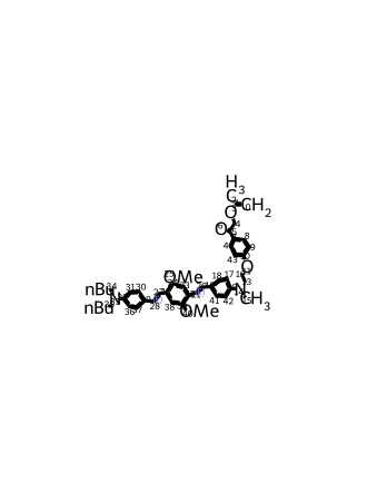 C=C(C)OCC(=O)c1ccc(OCCN(C)c2ccc(/C=C/c3cc(OC)c(/C=C/c4ccc(N(CCCC)CCCC)cc4)cc3OC)cc2)cc1